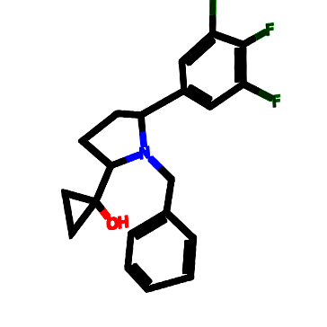 OC1(C2CCC(c3cc(F)c(F)c(F)c3)N2Cc2ccccc2)CC1